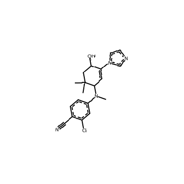 CN(c1ccc(C#N)c(Cl)c1)C1C=C(n2ccnc2)C(O)CC1(C)C